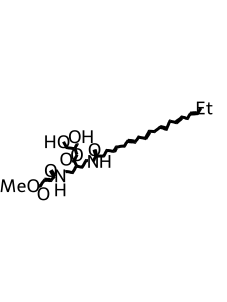 CCC=CCC=CCC=CCC=CCC=CCC=CCCC(=O)NCCC(CCNC(=O)C=CC(=O)OC)C(=O)OC(CO)CO